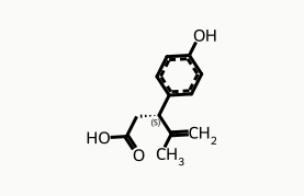 C=C(C)[C@H](CC(=O)O)c1ccc(O)cc1